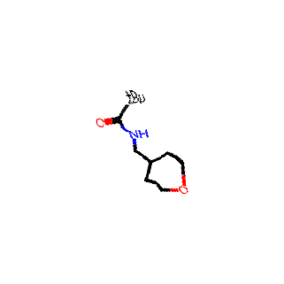 CC(C)(C)C(=O)NCC1CCOCC1